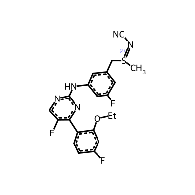 CCOc1cc(F)ccc1-c1nc(Nc2cc(F)cc(C/S(C)=N\C#N)c2)ncc1F